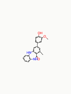 COc1cc(-c2cc(C)c3c(c2)Nc2ccccc2NC3=O)ccc1O